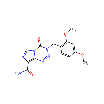 COc1ccc(Cn2nnc3c(C(N)=O)ncn3c2=O)c(OC)c1